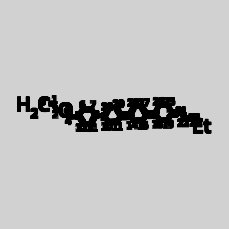 C=CCOCc1ccc(-c2ccc(-c3ccc([C@H]4CC[C@H](C/C=C/CC)CC4)cc3)cc2)cc1